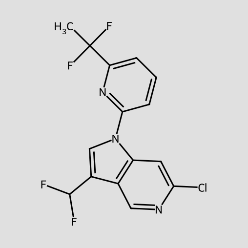 CC(F)(F)c1cccc(-n2cc(C(F)F)c3cnc(Cl)cc32)n1